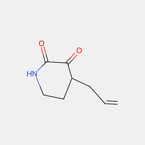 C=CCC1CCNC(=O)C1=O